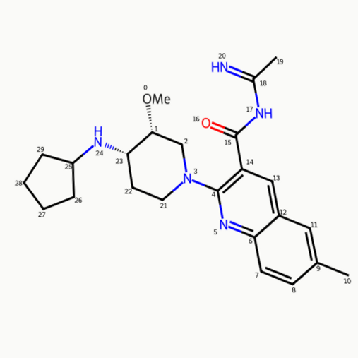 CO[C@@H]1CN(c2nc3ccc(C)cc3cc2C(=O)NC(C)=N)CC[C@@H]1NC1CCCC1